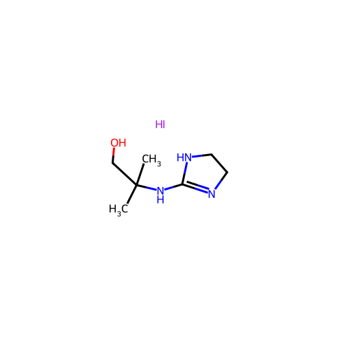 CC(C)(CO)NC1=NCCN1.I